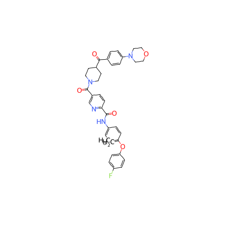 C=C(/C=C\C(=C/C)NC(=O)c1ccc(C(=O)N2CCC(C(=O)c3ccc(N4CCOCC4)cc3)CC2)cn1)Oc1ccc(F)cc1